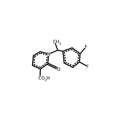 CC(c1ccc(F)c(F)c1)n1cccc(C(=O)O)c1=O